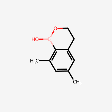 Cc1cc(C)c2c(c1)CCOB2O